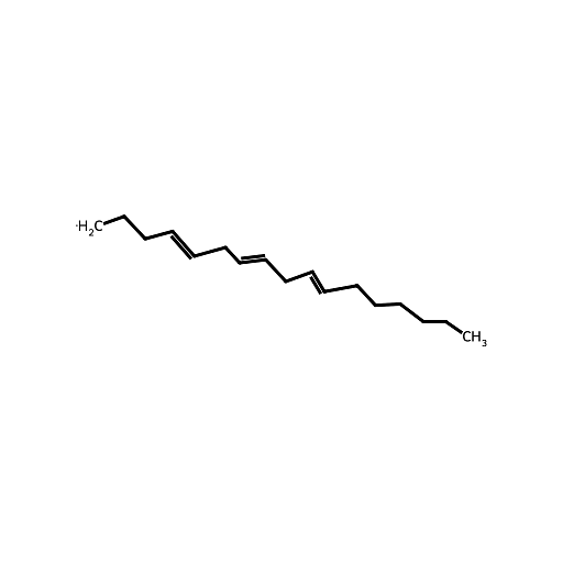 [CH2]CCC=CCC=CCC=CCCCCCC